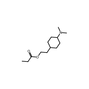 CCC(=O)OCCC1CCC(N(C)C)CC1